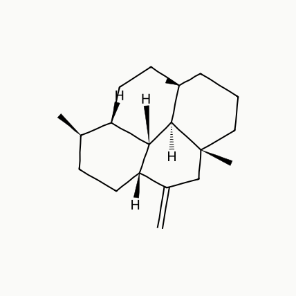 C=C1C[C@@]2(C)CCC[C@@]3(C)CC[C@@H]4[C@H]([C@@H]32)[C@H]1CC[C@H]4C